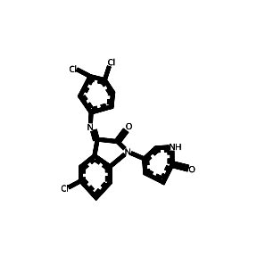 O=C1C(=Nc2ccc(Cl)c(Cl)c2)c2cc(Cl)ccc2N1c1ccc(=O)[nH]c1